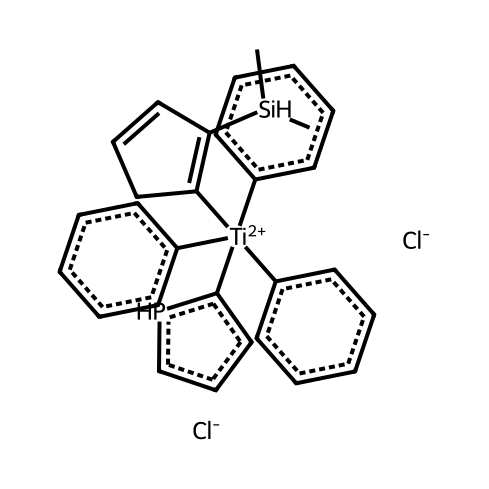 C[SiH](C)C1=[C]([Ti+2]([c]2ccccc2)([c]2ccccc2)([c]2ccccc2)[c]2ccc[pH]2)CC=C1.[Cl-].[Cl-]